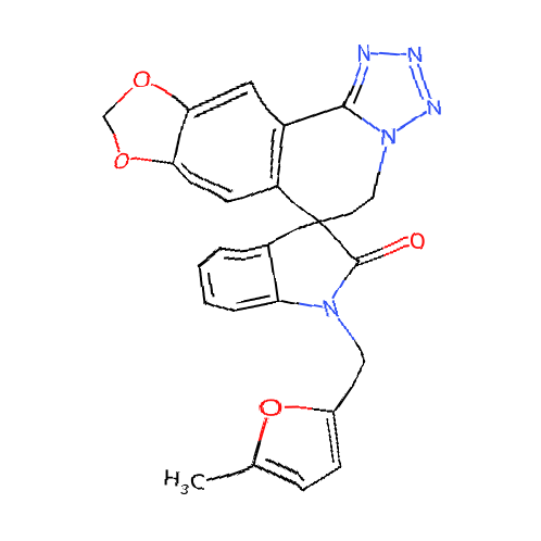 Cc1ccc(CN2C(=O)C3(Cn4nnnc4-c4cc5c(cc43)OCO5)c3ccccc32)o1